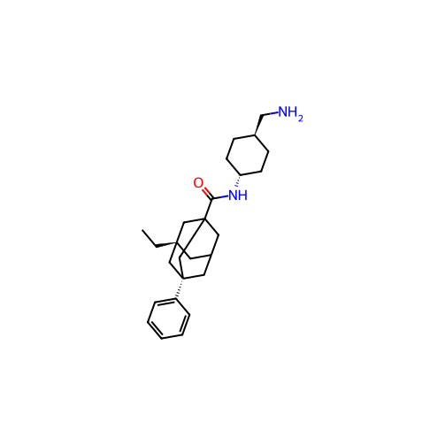 CC[C@]12CC3CC(C(=O)N[C@H]4CC[C@H](CN)CC4)(C1)C[C@@](c1ccccc1)(C3)C2